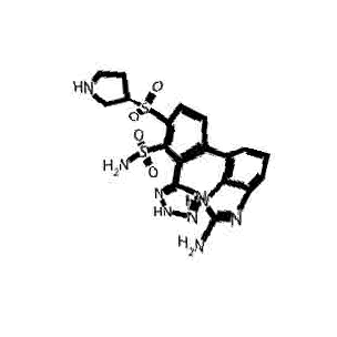 Nc1nc2cccc(-c3ccc(S(=O)(=O)[C@@H]4CCNC4)c(S(N)(=O)=O)c3-c3nn[nH]n3)c2[nH]1